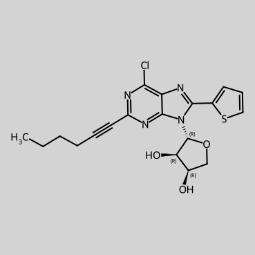 CCCCC#Cc1nc(Cl)c2nc(-c3cccs3)n([C@@H]3OC[C@@H](O)[C@H]3O)c2n1